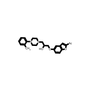 CC(=O)c1cc2cc(OCC(O)CN3CCN(c4ccccc4C)CC3)ccc2o1